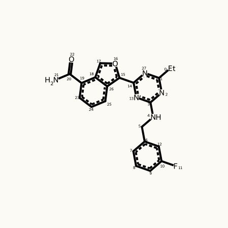 CCc1nc(NCc2cccc(F)c2)nc(-c2occ3c(C(N)=O)cccc23)n1